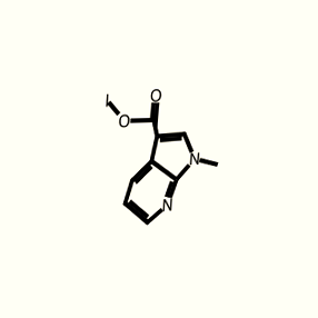 Cn1cc(C(=O)OI)c2cccnc21